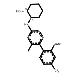 COc1cc(C(F)(F)F)ccc1-c1nnc(N[C@@H]2CCCC[C@H]2O)nc1C